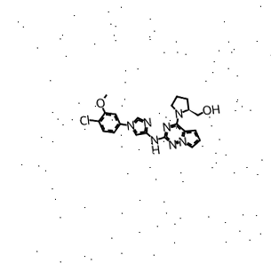 COc1cc(-n2cnc(Nc3nc(N4CCC[C@H]4CO)c4cccn4n3)c2)ccc1Cl